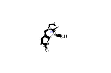 C#C/N=C1\SCCN1Cc1ccc(Cl)nc1